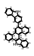 c1ccc2c(c1)[nH]c1ccc(-c3cc4c5ccccc5c5[nH]c6ccccc6c5c4c4ccccc34)cc12